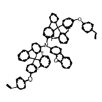 C=Cc1ccc(Oc2ccc(C3(c4c(F)cccc4F)c4ccccc4-c4ccc(N(c5ccc6c(c5)C(c5ccc(Oc7ccc(C=C)cc7)cc5)(c5c(F)cccc5F)c5ccccc5-6)c5ccc6c(c5)oc5ccccc56)cc43)cc2)cc1